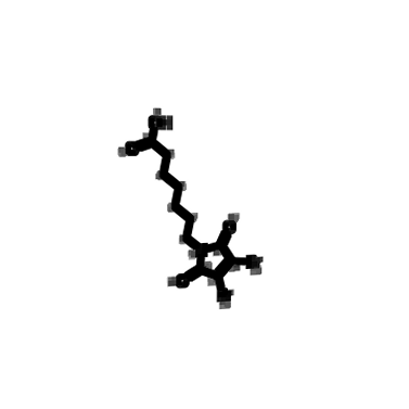 O=C(O)CCCCCCN1C(=O)C(Br)=C(Br)C1=O